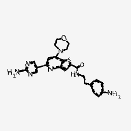 Nc1ccc(CCNC(=O)c2cc3nc(-c4cnc(N)nc4)cc(N4CCOCC4)c3s2)cc1